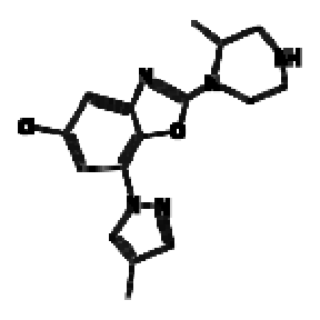 Cc1cnn(-c2cc(Cl)cc3nc(N4CCNCC4C)oc23)c1